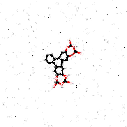 O=c1oc(=O)oc2cc3c(cc2o1)c1ccccc1c1cc2oc(=O)oc(=O)oc2cc13